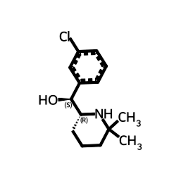 CC1(C)CCC[C@H]([C@@H](O)c2cccc(Cl)c2)N1